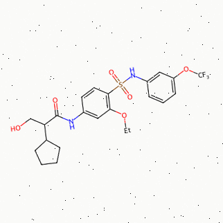 CCOc1cc(NC(=O)C(CO)C2CCCC2)ccc1S(=O)(=O)Nc1cccc(OC(F)(F)F)c1